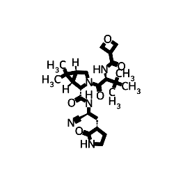 CC(C)(C)[C@H](NC(=O)C1COC1)C(=O)N1C[C@H]2[C@@H]([C@H]1C(=O)N[C@H](C#N)C[C@@H]1CCNC1=O)C2(C)C